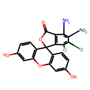 Nc1c2c(c(Cl)c(Cl)c1[N+](=O)[O-])C1(OC2=O)c2ccc(O)cc2Oc2cc(O)ccc21